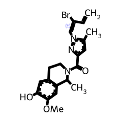 C=C/C(Br)=C\n1nc(C(=O)N2CCc3cc(O)c(OC)cc3C2C)cc1C